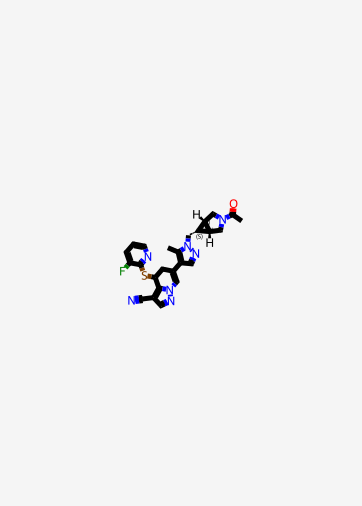 CC(=O)N1C[C@@H]2[C@H](C1)[C@@H]2Cn1ncc(C2=Cn3ncc(C#N)c3C(Sc3ncccc3F)C2)c1C